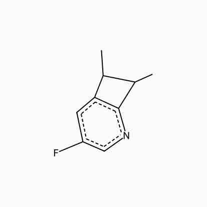 CC1c2cc(F)cnc2C1C